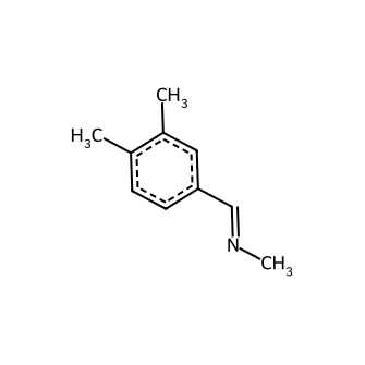 CN=Cc1ccc(C)c(C)c1